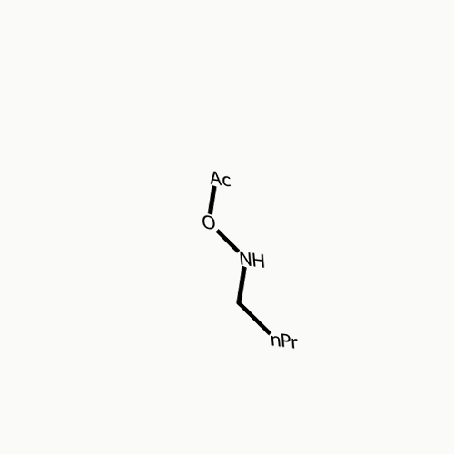 CCCCNOC(C)=O